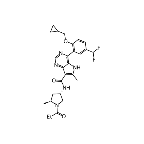 CCC(=O)N1C[C@@H](NC(=O)c2c(C)[nH]c3c(-c4cc(C(F)F)ccc4OCC4CC4)ncnc23)C[C@@H]1C